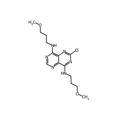 COCCCNc1nc(Cl)nc2c(NCCCOC)ncnc12